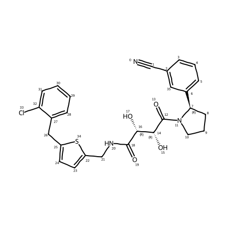 N#Cc1cccc([C@H]2CCCN2C(=O)[C@H](O)[C@@H](O)C(=O)NCc2ccc(Cc3ccccc3Cl)s2)c1